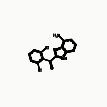 Nc1cccc2[nH]c(C(=O)c3c(Cl)cccc3Cl)nc12